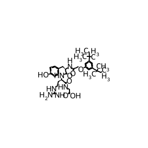 CCC(C)(C)c1cc(OCC(=O)N[C@H](Cc2ccc(O)cc2)C(=O)N[C@H](CCNC(=N)N)C(=O)NCC(=O)O)cc(C(C)(C)CC)c1